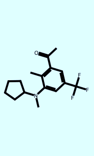 CC(=O)c1cc(C(F)(F)F)cc(N(C)C2CCCC2)c1C